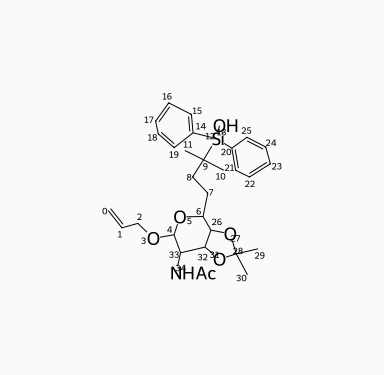 C=CCOC1OC(CCC(C)(C)[Si](O)(c2ccccc2)c2ccccc2)C2OC(C)(C)OC2C1NC(C)=O